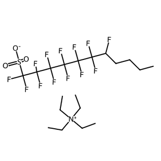 CCCCC(F)C(F)(F)C(F)(F)C(F)(F)C(F)(F)C(F)(F)C(F)(F)S(=O)(=O)[O-].CC[N+](CC)(CC)CC